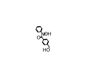 O=C(c1ccc(CO)cc1)N(O)c1ccccc1